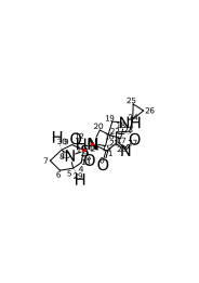 O=C(N[C@H]1C[C@H]2CC[C@@H](C1)N2S(=O)(=O)N1CC2(CNC2)C1)c1cc(C2CC2)on1